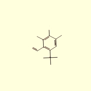 Cc1cc(C(C)(C)C)c(C=O)c(C)c1S